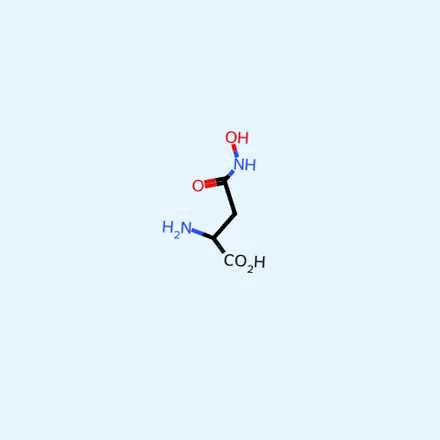 NC(CC(=O)NO)C(=O)O